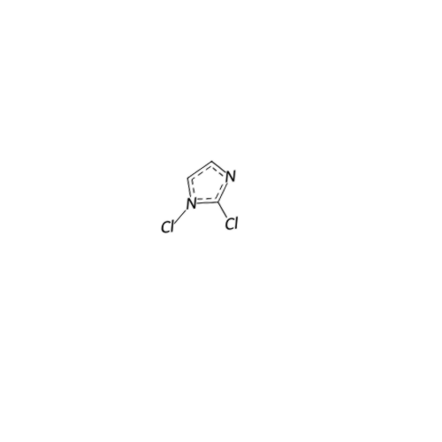 Clc1nccn1Cl